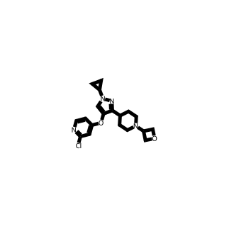 Clc1cc(Oc2cn(C3CC3)nc2C2CCN(C3COC3)CC2)ccn1